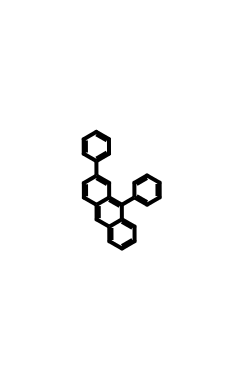 c1ccc(-c2ccc3cc4ccccc4c(-c4ccccc4)c3c2)cc1